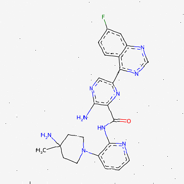 CC1(N)CCN(c2cccnc2NC(=O)c2nc(-c3ncnc4cc(F)ccc34)cnc2N)CC1